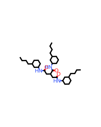 CCCCC1CCCC(NC(=O)CC(CC(=O)NC2CCCC(CCCC)C2)C(=O)NC2CCCC(CCCC)C2)C1